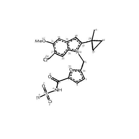 CCS(=O)(=O)NC(=O)c1ccc(Cn2c(C3(C)CC3)cc3cc(OC)c(Cl)cc32)o1